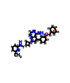 Cc1cccc(NC[C@H]2C[C@@H](n3cc(-c4cccc(OCC56CCC(CC5)O6)c4)c4c(N)ncnc43)C2)n1